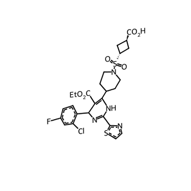 CCOC(=O)C1=C(C2CCN(S(=O)(=O)[C@H]3C[C@H](C(=O)O)C3)CC2)NC(c2nccs2)=NC1c1ccc(F)cc1Cl